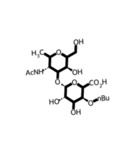 CCCCO[C@@H]1C(C(=O)O)O[C@@H](OC2[C@H](O)C(CO)OC(C)[C@H]2NC(C)=O)[C@@H](O)C1O